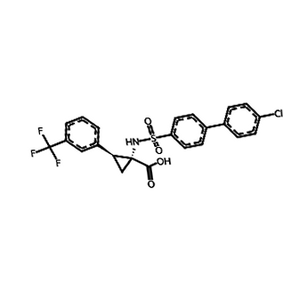 O=C(O)[C@@]1(NS(=O)(=O)c2ccc(-c3ccc(Cl)cc3)cc2)C[C@H]1c1cccc(C(F)(F)F)c1